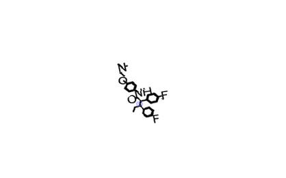 CC/C(=C(\C(=O)Nc1ccc(OCCN(C)C)cc1)c1ccc(F)cc1)c1ccc(F)cc1